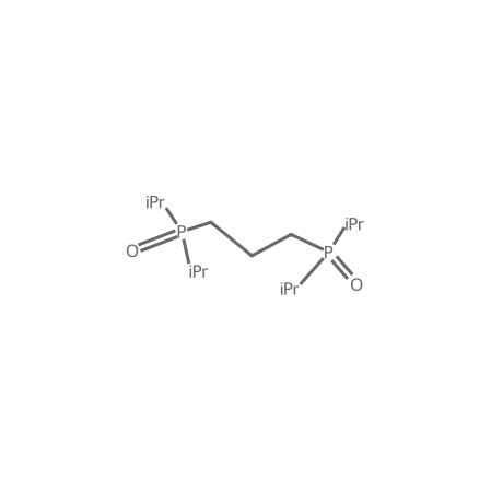 CC(C)P(=O)(CCCP(=O)(C(C)C)C(C)C)C(C)C